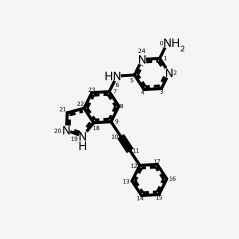 Nc1nccc(Nc2cc(C#Cc3ccccc3)c3[nH]ncc3c2)n1